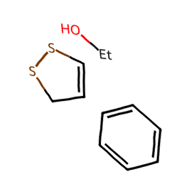 C1=CSSC1.CCO.c1ccccc1